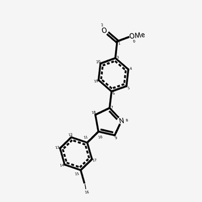 COC(=O)c1ccc(C2=NC=C(c3cccc(I)c3)C2)cc1